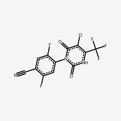 N#Cc1cc(F)c(-n2c(=O)[nH]c(C(F)(F)F)c(Cl)c2=O)cc1F